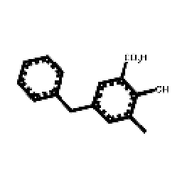 Cc1cc(Cc2ccccc2)cc(C(=O)O)c1O